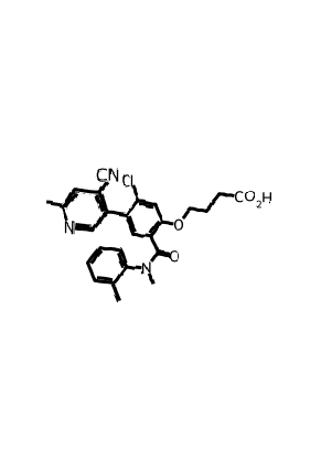 Cc1cc(C#N)c(-c2cc(C(=O)N(C)c3ccccc3C)c(OCCCC(=O)O)cc2Cl)cn1